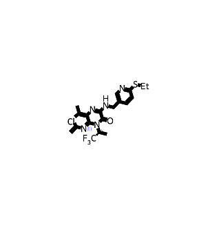 C=C(Cl)/N=C1\C(=C(C)C)N=C(NCc2ccc(SCC)nc2)C(=O)N1[C@@H](C)C(F)(F)F